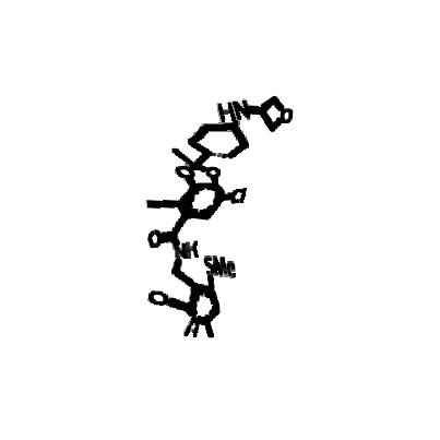 CSc1cc(C)[nH]c(=O)c1CNC(=O)c1cc(Cl)c2c(c1C)O[C@](C)([C@H]1CC[C@@H](NC3COC3)CC1)O2